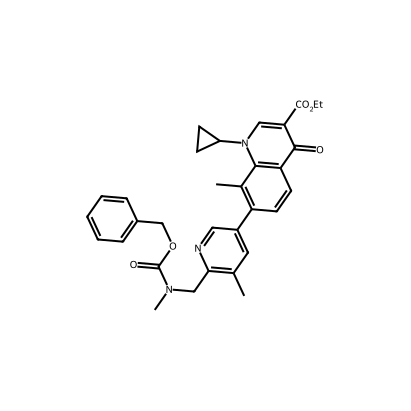 CCOC(=O)c1cn(C2CC2)c2c(C)c(-c3cnc(CN(C)C(=O)OCc4ccccc4)c(C)c3)ccc2c1=O